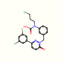 O=C(O)N(CCCCl)c1cccc(Cn2nc(-c3cc(F)cc(F)c3)ccc2=O)c1